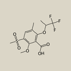 COc1c(S(C)(=O)=O)cc(C)c(OC(C)C(F)(F)F)c1C(=O)O